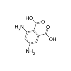 Nc1cc(N)c(C(=O)O)c(C(=O)O)c1